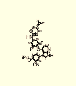 CC(C)Oc1ccc(-c2c[nH]c3nccc(Oc4c(F)cc(NC5=NC[C@@H](C6CC6)CO5)cc4F)c23)cc1C#N